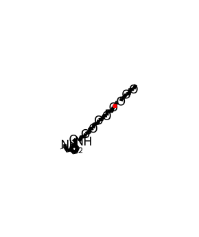 COCCOCCOCCOCCOCCOCCOCCOCCNC(=O)c1cccc(C[C@H](C)N)c1